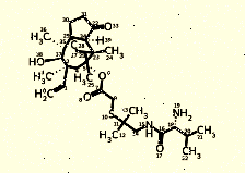 C=C[C@]1(C)C[C@@H](OC(=O)CSC(C)(C)CNC(=O)[C@H](N)C(C)C)[C@]2(C)C(C)CC[C@]3(CCC(=O)[C@H]32)[C@@H](C)[C@@H]1O